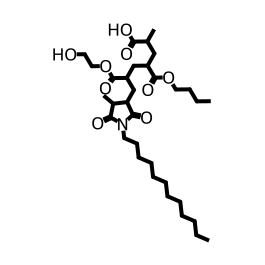 CCCCCCCCCCCCN1C(=O)C(C)C(CC(CC(CC(C)C(=O)O)C(=O)OCCCC)C(=O)OCCO)C1=O